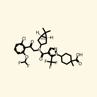 CC1(C(=O)O)CCC(n2ncc(C(=O)N(CC(=O)c3c(Cl)cccc3OC(F)F)C3C[C@@H]4[C@H](C3)C4(C)C)c2C(F)(F)F)CC1